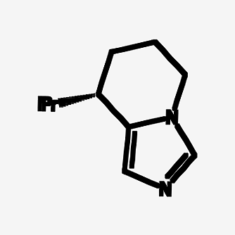 CC(C)[C@@H]1CCCn2cncc21